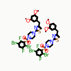 COc1cc(Cc2csc(N3CCN(S(=O)(=O)c4c(F)c(Br)cc(F)c4Br)CC3)n2)cc(OC)c1.COc1ccc(Cc2csc(N3CCN(S(=O)(=O)c4c(F)c(Br)cc(F)c4Br)CC3)n2)cc1OC